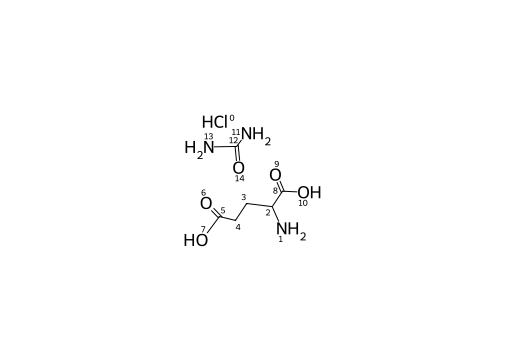 Cl.NC(CCC(=O)O)C(=O)O.NC(N)=O